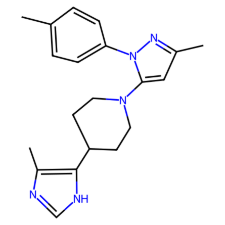 Cc1ccc(-n2nc(C)cc2N2CCC(c3[nH]cnc3C)CC2)cc1